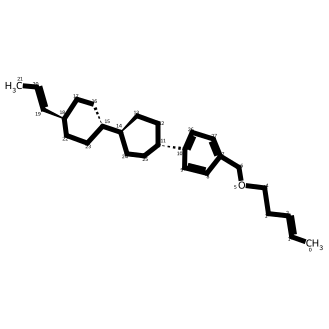 CC=CCCOCc1ccc([C@H]2CC[C@H]([C@H]3CC[C@H](C=CC)CC3)CC2)cc1